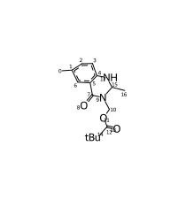 Cc1ccc2c(c1)C(=O)N(COC(=O)C(C)(C)C)C(C)N2